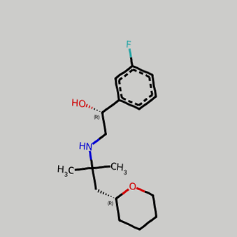 CC(C)(C[C@H]1CCCCO1)NC[C@H](O)c1cccc(F)c1